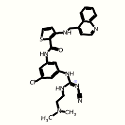 CN(C)CCN/C(=N\C#N)Nc1cc(Cl)cc(NC(=O)c2sccc2NCc2ccnc3ccccc23)c1